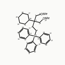 COCC(CC[Si](c1ccccc1)(c1ccccc1)c1ccccc1)(COC)C1CCCCC1